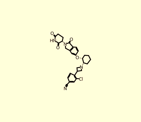 N#Cc1ccc(C2CN([C@H]3CCCC[C@H]3Oc3ccc4c(c3)CN([C@H]3CCC(=O)NC3=O)C4=O)C2)c(Cl)c1